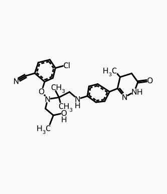 CC(O)CN(Oc1cc(Cl)ccc1C#N)C(C)(C)CNc1ccc(C2=NNC(=O)CC2C)cc1